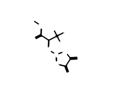 COC(=O)C(OB1OC(=O)C(=O)O1)C(F)(F)F